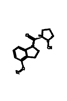 CCOc1cccc2c1CCN2C(=O)[C@@H]1CCCN1C#N